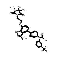 CN1C(=O)N(CCOc2ccc(-c3ccc(N(C(N)=O)c4cccc(C(F)(F)F)c4)cc3)c3c(N)n[nH]c23)C(=O)C1(C)C